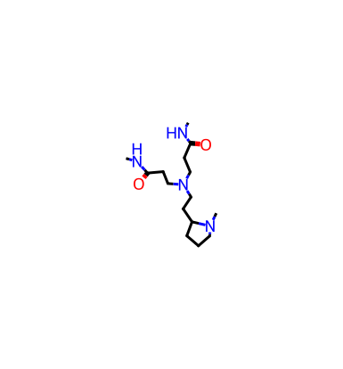 CNC(=O)CCN(CCC(=O)NC)CCC1CCCN1C